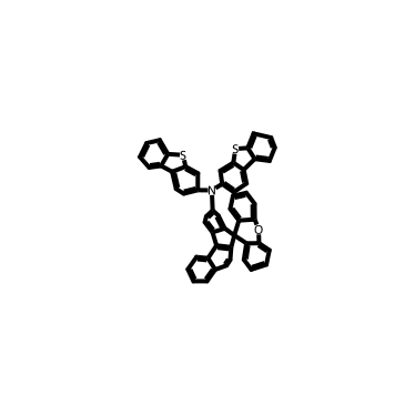 c1ccc2c(c1)Oc1ccccc1C21c2cc(N(c3ccc4c(c3)sc3ccccc34)c3ccc4c(c3)sc3ccccc34)ccc2-c2c1ccc1ccccc21